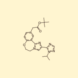 CC(C)n1ncnc1-c1cn2c(n1)-c1cc(CC(=O)OC(C)(C)C)ccc1OCC2